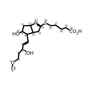 CCOCC[C@H](O)C=CC1C(O)CC2N=C(SCCCCC(=O)O)CC21